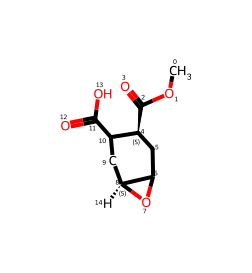 COC(=O)[C@H]1CC2O[C@H]2CC1C(=O)O